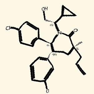 C=CC[C@@]1(C)C[C@H](c2cccc(Cl)c2)[C@@H](c2ccc(Cl)cc2)N([C@H](CO)C2CC2)C1=O